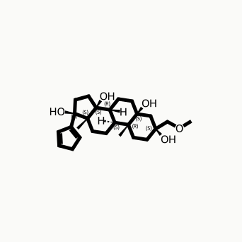 COC[C@]1(O)CC[C@]2(C)[C@H]3CC[C@]4(C)[C@](O)(C5=CCC=C5)CC[C@]4(O)[C@@H]3CC[C@]2(O)C1